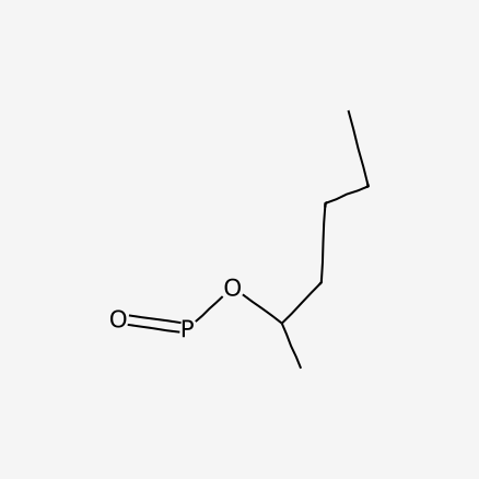 CCCCC(C)OP=O